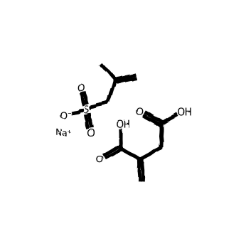 C=C(C)CS(=O)(=O)[O-].C=C(CC(=O)O)C(=O)O.[Na+]